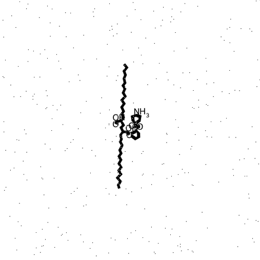 CCCCCCCCCCCCCCCCC(CCC(CCCCCCCCCCCCCCCC)C(=O)O)C(=O)O.N.O=S(=O)(c1ccccc1)c1ccccc1